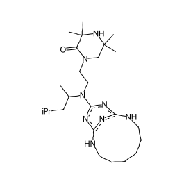 CC(C)CC(C)N(CCN1CC(C)(C)NC(C)(C)C1=O)c1nc2nc(n1)NCCCCCCN2